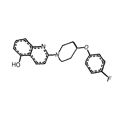 Oc1cccc2nc(N3CCC(Oc4ccc(F)cc4)CC3)ccc12